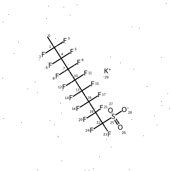 CC(F)(F)C(F)(F)C(F)(F)C(F)(F)C(F)(F)C(F)(F)C(F)(F)C(F)(F)S(=O)(=O)[O-].[K+]